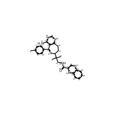 Cc1ccc(C2=NC(C(C)(C)CNC(=O)c3cnc4ccccc4n3)CCc3ncnc(N)c32)cc1